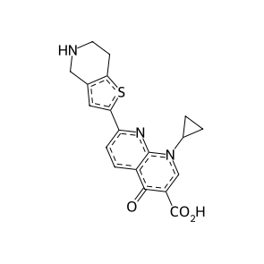 O=C(O)c1cn(C2CC2)c2nc(-c3cc4c(s3)CCNC4)ccc2c1=O